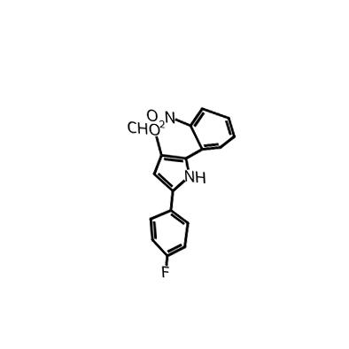 O=Cc1cc(-c2ccc(F)cc2)[nH]c1-c1ccccc1[N+](=O)[O-]